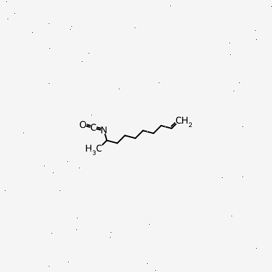 C=CCCCCCCC(C)N=C=O